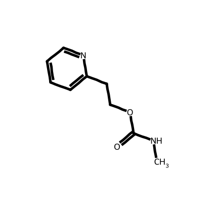 CNC(=O)OCCc1ccccn1